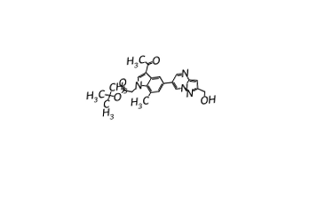 CC(=O)c1cn(CC(=O)OC(C)(C)C)c2c(C)cc(-c3cnc4cc(CO)nn4c3)cc12